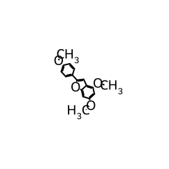 COc1ccc(-c2cc3c(OC)cc(OC)cc3o2)cc1